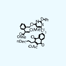 CCCCCCCCCCCCC1=C(OC(C)=O)C(=O)c2ccccc2C1=O.CO/C=C(/C(=O)OC)c1ccccc1COc1cc(C(F)(F)F)nc(OC(C)C)n1